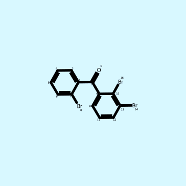 O=C(c1ccccc1Br)c1cccc(Br)c1Br